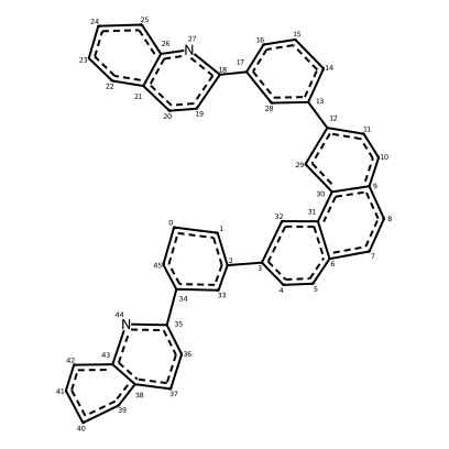 c1cc(-c2ccc3ccc4ccc(-c5cccc(-c6ccc7ccccc7n6)c5)cc4c3c2)cc(-c2ccc3ccccc3n2)c1